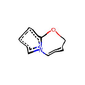 C1=Cn2cccc2OC1